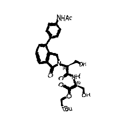 CC(=O)Nc1ccc(-c2cccc3c2CN([C@@H](CO)C(=O)N[C@@H](CO)C(=O)OCC(C)(C)C)C3=O)cc1